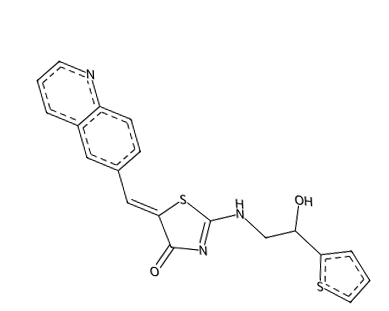 O=C1N=C(NCC(O)c2cccs2)S/C1=C\c1ccc2ncccc2c1